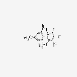 Cc1cc(C)c(-c2c(F)c(F)c(F)c(F)c2F)c(C)c1